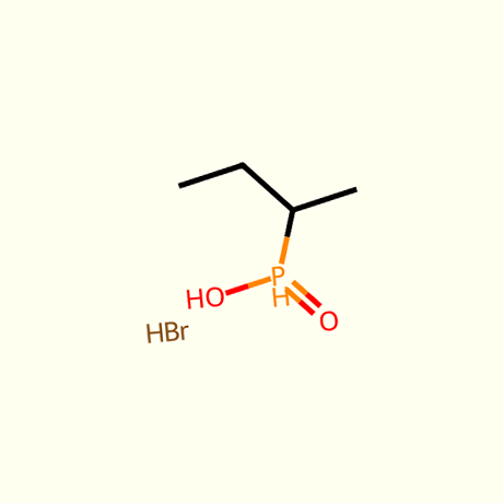 Br.CCC(C)[PH](=O)O